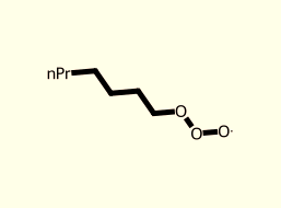 CCCCCCCOO[O]